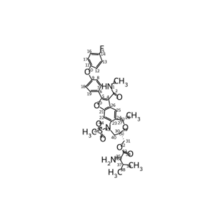 CNC(=O)c1c(-c2ccc(Oc3ccc(F)cc3)cc2)oc2cc3c(cc12)[C@H](C)O[C@H](COC(=O)[C@@H](N)C(C)C)CN3S(C)(=O)=O